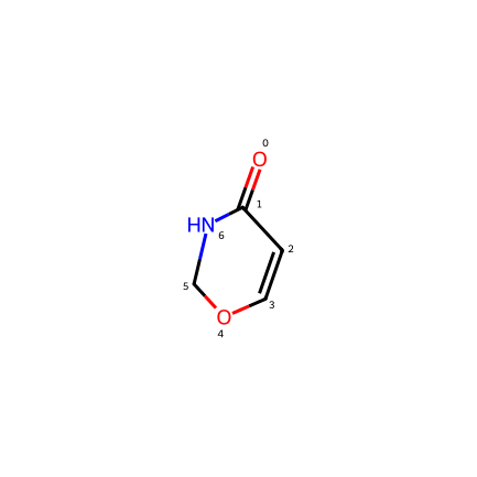 O=C1C=COCN1